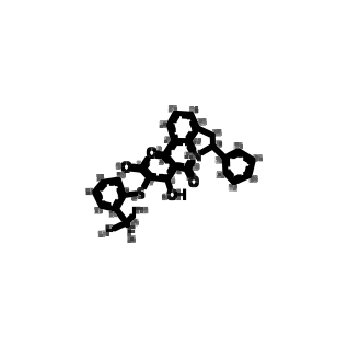 O=c1oc2c(c(O)c1Sc1ccccc1C(F)(F)F)c(=O)n1c3c(cccc23)CC1c1ccccc1